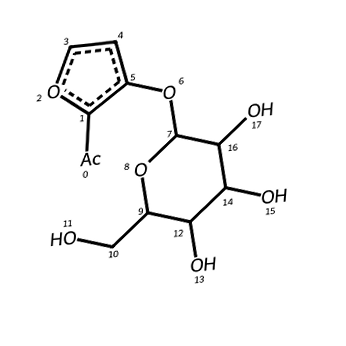 CC(=O)c1occc1OC1OC(CO)C(O)C(O)C1O